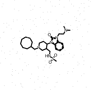 CN(C)CCn1c(=O)n(C2CCN(CC3CCCCCCC3)CC2CNS(C)(=O)=O)c2ccccc21